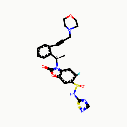 C[C@H](c1ccccc1C#CCN1CCOCC1)n1c(=O)oc2cc([S+]([O-])Nc3ncns3)c(F)cc21